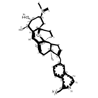 CN(C)[C@H]1C[C@@]23CC[C@@]4(O2)C(=CC[C@]2(C)C(c5ccc6c(N)nccc6c5)=CCC24)C=C3[C@@H](O)[C@@H]1O